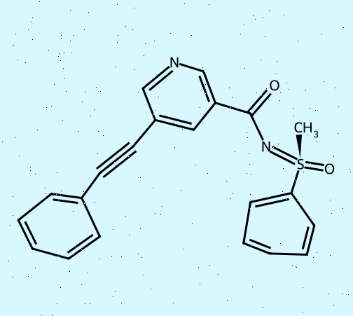 C[S@](=O)(=NC(=O)c1cncc(C#Cc2ccccc2)c1)c1ccccc1